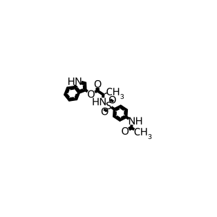 CC(=O)Nc1ccc(S(=O)(=O)N[C@@H](C)C(=O)Oc2c[nH]c3ccccc23)cc1